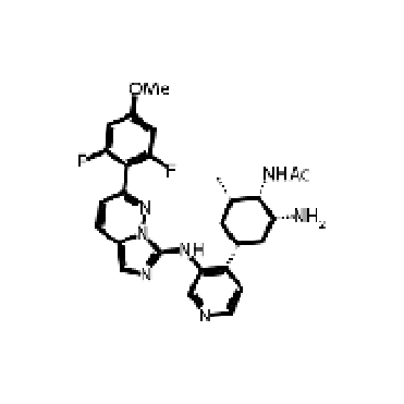 COc1cc(F)c(-c2ccc3cnc(Nc4cnccc4[C@H]4C[C@@H](N)[C@@H](NC(C)=O)[C@@H](C)C4)n3n2)c(F)c1